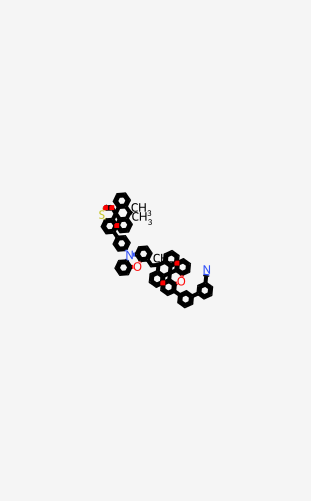 CC1(C)c2ccccc2C2(c3ccccc3Sc3ccc(-c4ccc(N5c6ccccc6Oc6c(CC7(C)c8ccccc8C8(c9ccccc9Oc9c(-c%10cccc(-c%11cccc(C#N)c%11)c%10)cccc98)c8ccccc87)cccc65)cc4)cc32)c2ccccc21